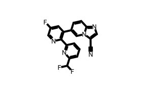 N#Cc1cnc2ccc(-c3cc(F)cnc3-c3cccc(C(F)F)n3)cn12